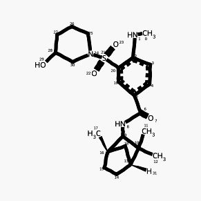 CNc1ccc(C(=O)NC2C(C)(C)[C@@H]3CC[C@@]2(C)C3)cc1S(=O)(=O)N1CCCC(O)C1